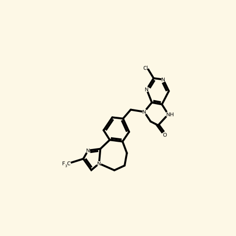 O=C1CN(Cc2ccc3c(c2)CCCn2cc(C(F)(F)F)nc2-3)c2nc(Cl)ncc2N1